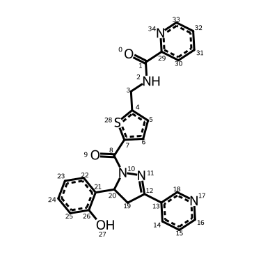 O=C(NCc1ccc(C(=O)N2N=C(c3cccnc3)CC2c2ccccc2O)s1)c1ccccn1